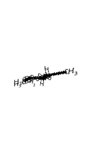 CCCCCCCCCCCCCCCC(=O)NC1CC2(C1)CC(NC(=O)CCOCCOCCC(=O)OC(C)(C)C)C2